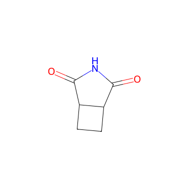 O=C1NC(=O)C2CCC12